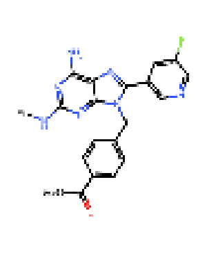 CCNc1nc(N)c2nc(-c3cncc(F)c3)n(Cc3ccc(C(=O)OC)cc3)c2n1